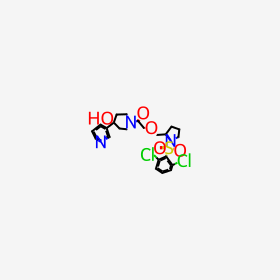 O=C(COCC1CCCN1S(=O)(=O)c1c(Cl)cccc1Cl)N1CCC(O)(c2cccnc2)CC1